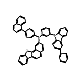 c1ccc(-c2ccc3c(c2)c2ccccc2n3-c2cccc(N(c3ccc(-c4cccc5ccccc45)cc3)c3ccc4ccc5c6ccccc6oc5c4c3)c2)cc1